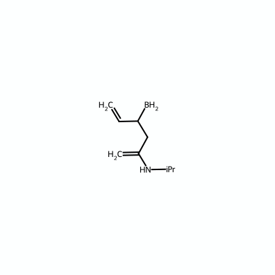 BC(C=C)CC(=C)NC(C)C